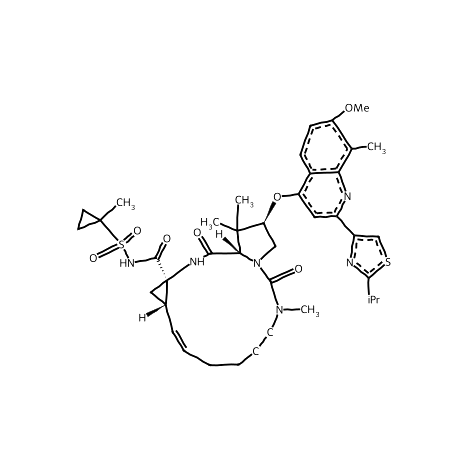 COc1ccc2c(O[C@H]3CN4C(=O)N(C)CCCC/C=C\[C@@H]5C[C@@]5(C(=O)NS(=O)(=O)C5(C)CC5)NC(=O)[C@@H]4C3(C)C)cc(-c3csc(C(C)C)n3)nc2c1C